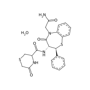 NC(=O)CN1C(=O)[C@@H](NC(=O)C2CSCC(=O)N2)[C@H](c2ccccc2)Sc2ccccc21.O